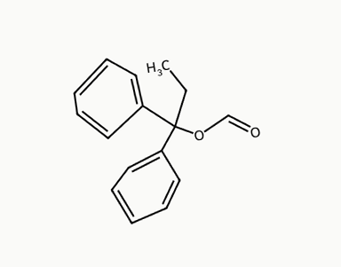 CCC(OC=O)(c1ccccc1)c1ccccc1